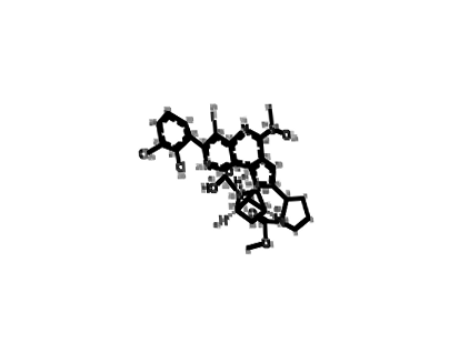 COC(=O)N1CCCC1c1cc2c([S+](C)[O-])nc3c(F)c(-c4cccc(Cl)c4Cl)ncc3c2n1[C@H]1[C@@H]2C[C@H]1N(C(=O)O)C2